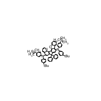 CC(C)(C)c1ccc(N(c2ccc([Si](C)(C)C)cc2)c2cc3c(c4ncccc24)-c2c(cc(N(c4ccc(C(C)(C)C)cc4)c4ccc([Si](C)(C)C)cc4)c4c2oc2ccccc24)C3(c2ccccc2)c2ccccc2)cc1